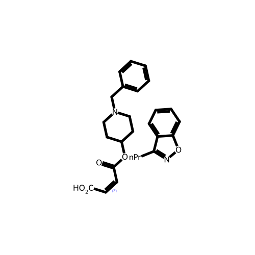 CCCc1noc2ccccc12.O=C(O)/C=C\C(=O)OC1CCN(Cc2ccccc2)CC1